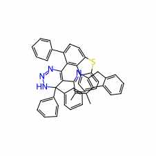 Cc1c(C2=C(c3c(-c4ccccc4)ccc4sc5ccccc5c34)N=NNC2(c2ccccc2)c2ccccc2)nc2c(c1C)-c1ccccc1C2